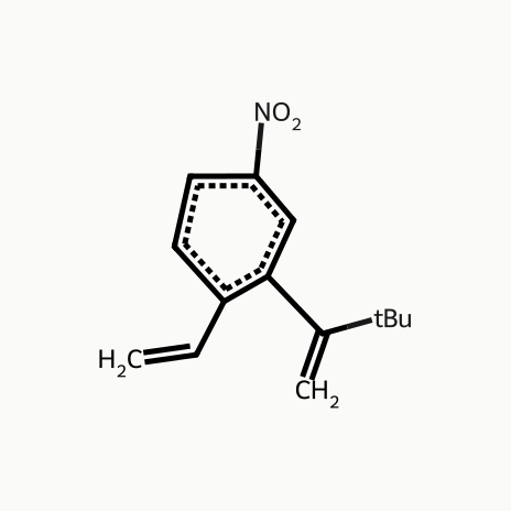 C=Cc1ccc([N+](=O)[O-])cc1C(=C)C(C)(C)C